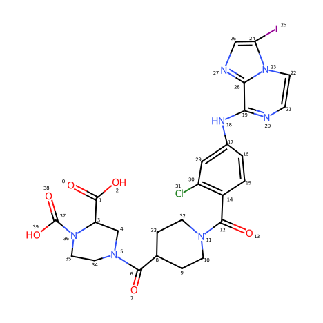 O=C(O)C1CN(C(=O)C2CCN(C(=O)c3ccc(Nc4nccn5c(I)cnc45)cc3Cl)CC2)CCN1C(=O)O